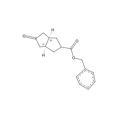 O=C1C[C@@H]2CC(C(=O)OCc3ccccc3)C[C@@H]2C1